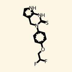 FC(F)COc1ccc(N2Cc3cc[nH]c3NC2=S)cc1